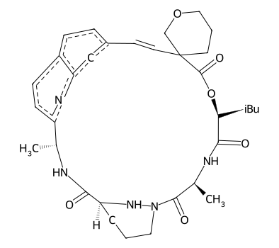 CC[C@H](C)[C@@H]1OC(=O)C2(/C=C/c3ccc4ccc(nc4c3)[C@@H](C)NC(=O)[C@@H]3CCCN(N3)C(=O)[C@H](C)NC1=O)CCCOC2